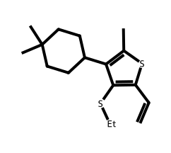 C=Cc1sc(C)c(C2CCC(C)(C)CC2)c1SCC